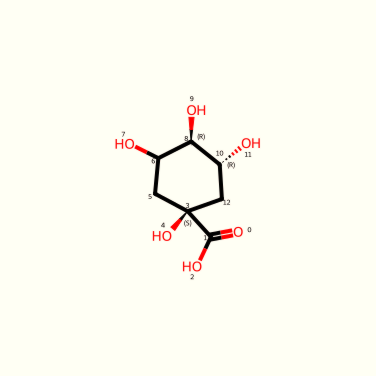 O=C(O)[C@]1(O)CC(O)[C@@H](O)[C@H](O)C1